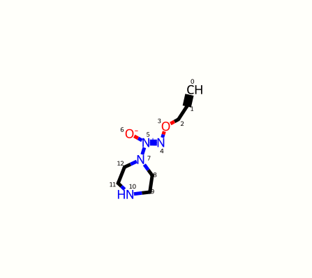 C#CCO/N=[N+](\[O-])N1CCNCC1